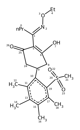 CCC/C(=N\OCC)C1=C(O)CC(c2c(C)c(C)c(C)c(C)c2S(C)(=O)=O)CC1=O